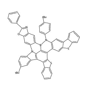 CC(C)(C)c1ccc(N2B3c4cc5nc(-c6ccccc6)oc5cc4-n4c5ccc(C(C)(C)C)cc5c5c6c(sc7ccccc76)c(c3c54)-c3cc4sc5ccccc5c4cc32)cc1